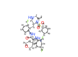 C[C@@H]1CNCC(Cc2c(F)cccc2NC(=O)[C@@H](N)C2(c3cc(F)cc(F)c3)CCOCC2)N1S(=O)(=O)c1ccccc1